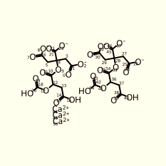 O=C([O-])CC(CC(=O)[O-])(OC(=O)C(CC(=O)O)OC(=O)O)C(=O)[O-].O=C([O-])CC(CC(=O)[O-])(OC(=O)C(CC(=O)O)OC(=O)O)C(=O)[O-].[Ca+2].[Ca+2].[Ca+2]